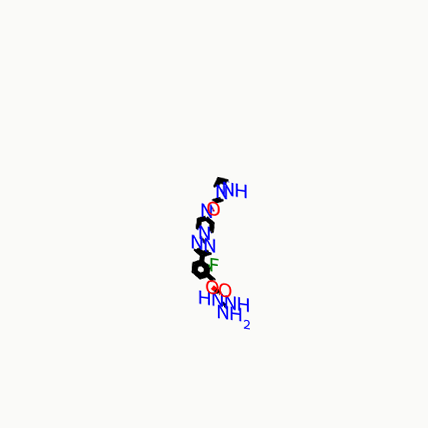 N=C(N)NC(=O)OCc1cccc(-c2cnc(N3CCC(=NOCCN4CC=CN4)CC3)nc2)c1F